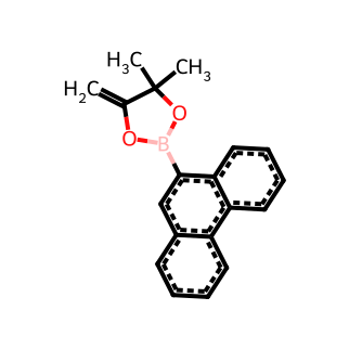 C=C1OB(c2cc3ccccc3c3ccccc23)OC1(C)C